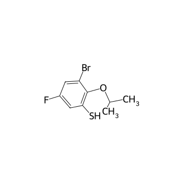 CC(C)Oc1c(S)cc(F)cc1Br